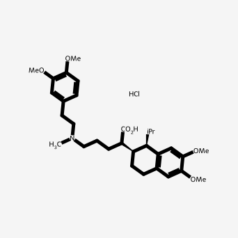 COc1ccc(CCN(C)CCCC(C(=O)O)[C@@H]2CCc3cc(OC)c(OC)cc3[C@@H]2C(C)C)cc1OC.Cl